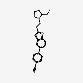 N#Cc1ccc(-c2ccc3oc(CCN4CCCC4CF)cc3c2)cc1